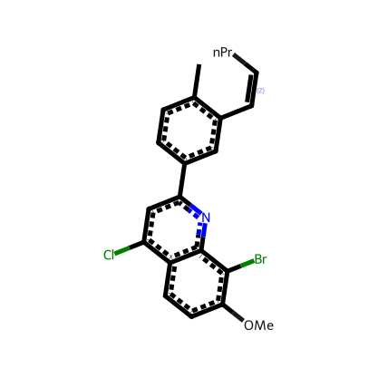 CCC/C=C\c1cc(-c2cc(Cl)c3ccc(OC)c(Br)c3n2)ccc1C